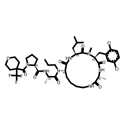 CCCN(C(=O)[C@H](C)NC(=O)[C@@H]1CCCN1C(=O)C1(C(F)(F)F)CCOCC1)[C@H]1CCCCNC(=O)[C@@H](C)NC(=O)[C@H](Cc2cc(Cl)ccc2Cl)N(C)C(=O)[C@H](CC(C)C)NC1=O